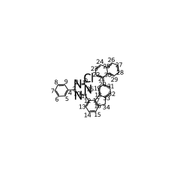 Clc1nc(-c2ccccc2)nc(-c2cccc3c2-c2cc(-c4cccc5ccccc45)ccc2C3)n1